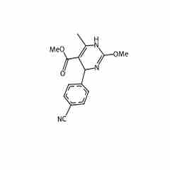 COC(=O)C1=C(C)NC(OC)=NC1c1ccc(C#N)cc1